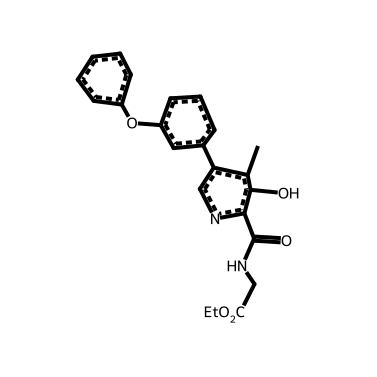 CCOC(=O)CNC(=O)c1ncc(-c2cccc(Oc3ccccc3)c2)c(C)c1O